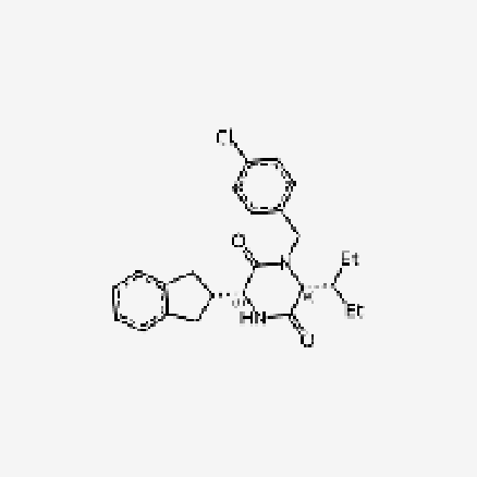 CCC(CC)[C@@H]1C(=O)N[C@H](C2Cc3ccccc3C2)C(=O)N1Cc1ccc(Cl)cc1